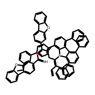 C=C/C(=C(\CN(C)/C(=N\C(=N)c1ccc2c(c1)oc1ccccc12)c1ccc2c(c1)oc1ccccc12)n1c2c(-c3ccccc3)ccc(-c3ccccc3)c2c2c(-c3ccccc3)ccc(-c3ccc(-c4cccc(CC)c4)cc3)c21)c1ccccc1